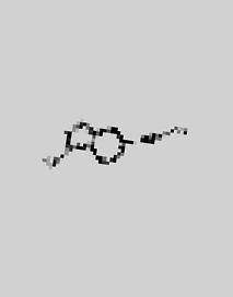 CCCCC#Cc1ccc2c(cnn2P)c1